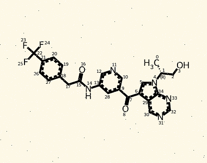 C[C@H](CO)n1cc(C(=O)c2cncc(NC(=O)Cc3ccc(C(F)(F)F)cc3)c2)c2cncnc21